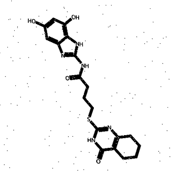 O=C(CCCSc1nc2c(c(=O)[nH]1)CCCC2)Nc1nc2cc(O)cc(O)c2[nH]1